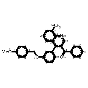 COc1ccc(COc2cccc(-c3c(C(=O)c4ccccc4)cnc4c(C(F)(F)F)cccc34)c2)cc1